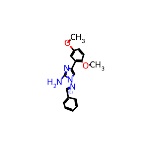 COc1ccc(OC)c(-c2cn(/N=C/c3ccccc3)c(N)n2)c1